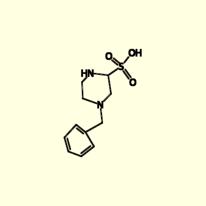 O=S(=O)(O)C1CN(Cc2ccccc2)CCN1